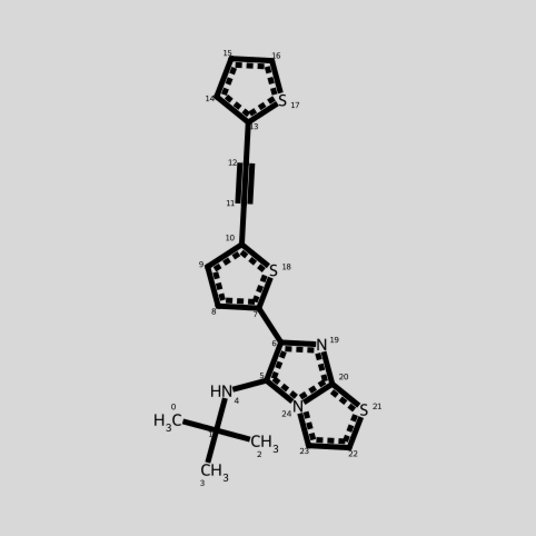 CC(C)(C)Nc1c(-c2ccc(C#Cc3cccs3)s2)nc2sccn12